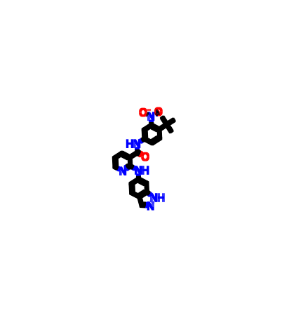 CC(C)(C)c1ccc(NC(=O)c2cccnc2Nc2ccc3cn[nH]c3c2)cc1[N+](=O)[O-]